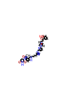 Cn1c(=O)n(C2CCC(=O)NC2=O)c2cccc(CNCCCCc3cn(Cc4cccc(N5C[C@H]6C[C@@H]5CN6/C=C/C(=O)c5ccccc5O)n4)nn3)c21